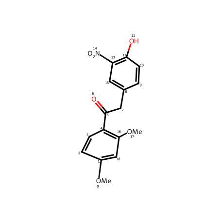 COc1ccc(C(=O)Cc2ccc(O)c([N+](=O)[O-])c2)c(OC)c1